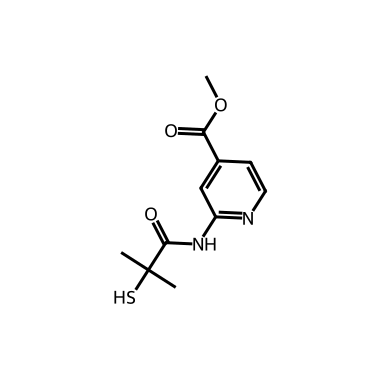 COC(=O)c1ccnc(NC(=O)C(C)(C)S)c1